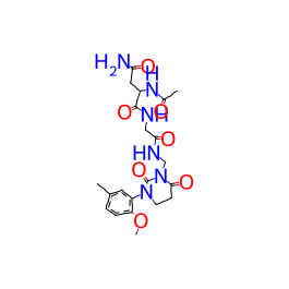 COc1ccc(C)cc1N1CCC(=O)N(CNC(=O)CNC(=O)C(CC(N)=O)NC(C)=O)C1=O